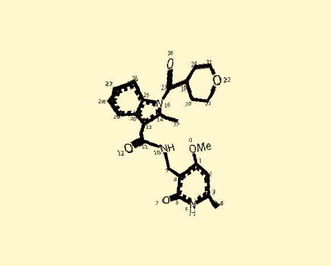 COc1cc(C)[nH]c(=O)c1CNC(=O)c1c(C)n(C(=O)C2CCOCC2)c2ccccc12